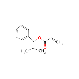 C=CC(=O)OC([C](C)C)c1ccccc1